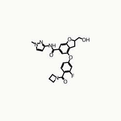 Cn1ccc(NC(=O)c2cc(Oc3ccc(C(=O)N4CCC4)c(F)c3)c3c(c2)OC(CO)C3)n1